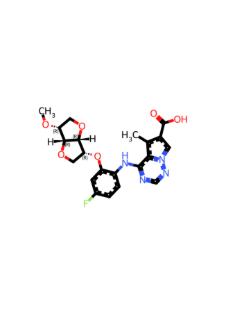 CO[C@@H]1CO[C@H]2[C@@H]1OC[C@H]2Oc1cc(F)ccc1Nc1ncnn2cc(C(=O)O)c(C)c12